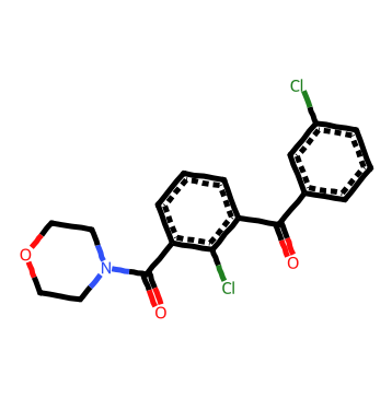 O=C(c1cccc(Cl)c1)c1cccc(C(=O)N2CCOCC2)c1Cl